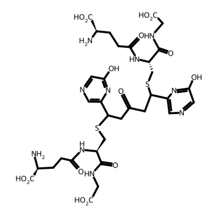 N[C@H](CCC(=O)N[C@@H](CSC(CC(=O)CC(SC[C@H](NC(=O)CC[C@H](N)C(=O)O)C(=O)NCC(=O)O)c1cncc(O)n1)c1cncc(O)n1)C(=O)NCC(=O)O)C(=O)O